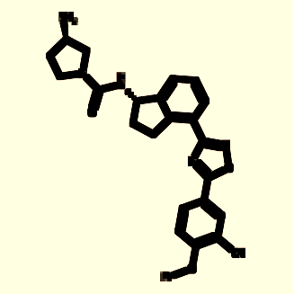 CC(C)Oc1ccc(-c2nc(-c3cccc4c3CC[C@@H]4NC(=O)N3CC[C@@H](N)C3)no2)cc1C#N